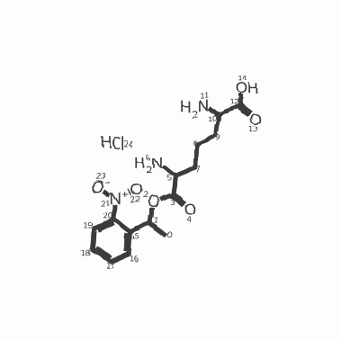 CC(OC(=O)C(N)CCCC(N)C(=O)O)c1ccccc1[N+](=O)[O-].Cl